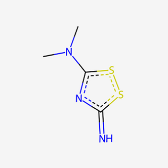 CN(C)c1nc(=N)ss1